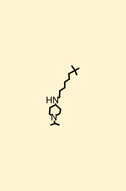 CC(C)N1CCC(NCCCCCCC(C)(C)C)CC1